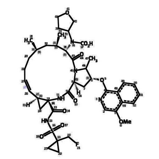 COc1cnc(O[C@@H]2C[C@H]3C(=O)N[C@]4(C(=O)NS(=O)(=O)C5(CF)CC5)C[C@H]4/C=C\CC[C@@H](C)C[C@@H](C)[C@H](N(C(=O)O)C4CCOC4)C(=O)N3C2C)c2ccccc12